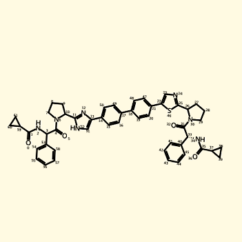 O=C(NC(C(=O)N1CCCC1c1nc(-c2ccc(-c3ccc(-c4cnc(C5CCCN5C(=O)[C@H](NC(=O)C5CC5)c5ccccc5)s4)cc3)cc2)c[nH]1)c1ccccc1)C1CC1